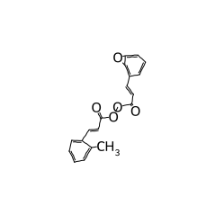 Cc1ccccc1/C=C/C(=O)OOC(=O)/C=C/c1cccc2c1O2